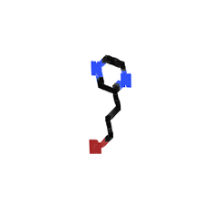 BrCCCc1cnccn1